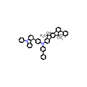 CC1(C)c2cc(N(c3ccc(-c4ccccc4)cc3)c3ccc(C4CC=Cc5c4c4ccccc4n5-c4ccccc4)cc3)ccc2-c2cc3c(cc21)-c1cccc(-c2ccccc2)c1C3(C)C